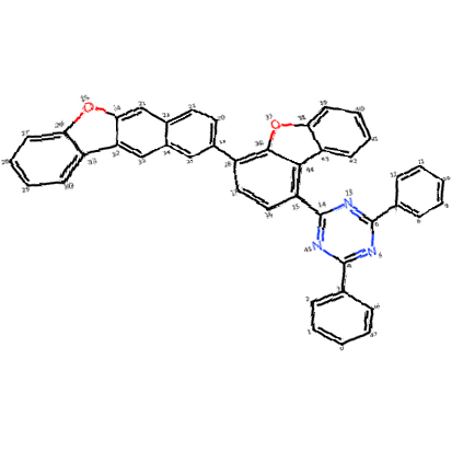 c1ccc(-c2nc(-c3ccccc3)nc(-c3ccc(-c4ccc5cc6oc7ccccc7c6cc5c4)c4oc5ccccc5c34)n2)cc1